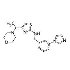 CC(c1csc(NCc2cccc(-n3ccnc3)c2)n1)N1CCOCC1